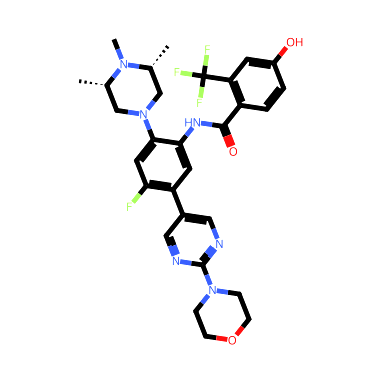 C[C@@H]1CN(c2cc(F)c(-c3cnc(N4CCOCC4)nc3)cc2NC(=O)c2ccc(O)cc2C(F)(F)F)C[C@H](C)N1C